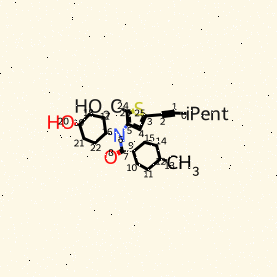 CCCC(C)C#Cc1cc(N(C(=O)[C@H]2CC[C@H](C)CC2)[C@H]2CC[C@H](O)CC2)c(C(=O)O)s1